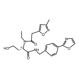 CCN(C(=O)Cc1cc(C)no1)[C@@H](CCO)C(=O)NCc1ccc(-c2ncco2)cc1